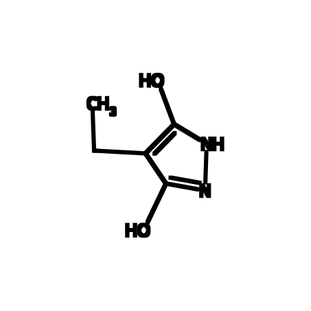 CCc1c(O)n[nH]c1O